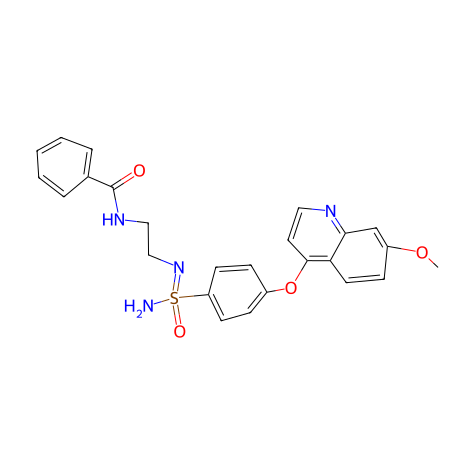 COc1ccc2c(Oc3ccc(S(N)(=O)=NCCNC(=O)c4ccccc4)cc3)ccnc2c1